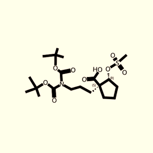 CC(C)(C)OC(=O)N(CCC[C@@]1(C(=O)O)CCC[C@H]1OS(C)(=O)=O)C(=O)OC(C)(C)C